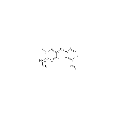 C=CC(F)=CC(C=C)Oc1ccc(NN)c(C)c1